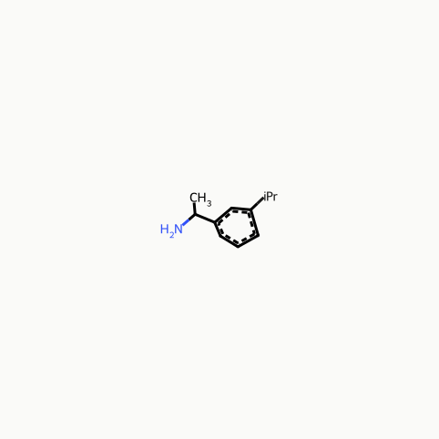 CC(C)c1cccc(C(C)N)c1